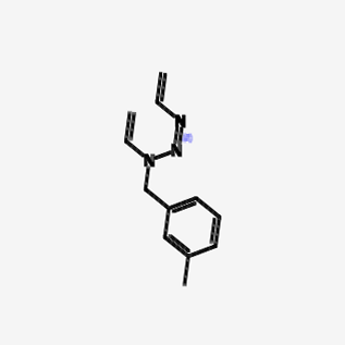 C=C/N=N\N(C=C)Cc1cccc(C)c1